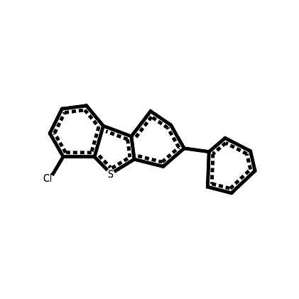 Clc1cccc2c1sc1cc(-c3ccccc3)ccc12